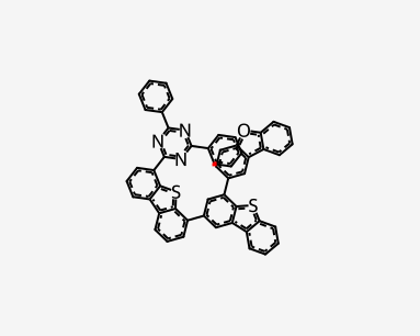 c1ccc(-c2nc(-c3ccccc3)nc(-c3cccc4c3sc3c(-c5cc(-c6ccc7oc8ccccc8c7c6)c6sc7ccccc7c6c5)cccc34)n2)cc1